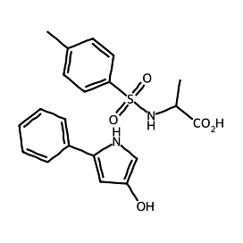 Cc1ccc(S(=O)(=O)NC(C)C(=O)O)cc1.Oc1c[nH]c(-c2ccccc2)c1